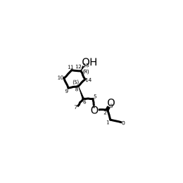 CCC(=O)OCC(C)[C@H]1CCC[C@@H](O)C1